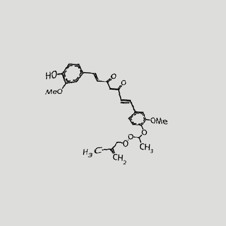 C=C(C)COOC(C)Oc1ccc(/C=C/C(=O)CC(=O)/C=C/c2ccc(O)c(OC)c2)cc1OC